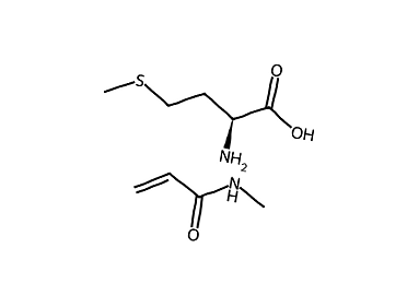 C=CC(=O)NC.CSCC[C@H](N)C(=O)O